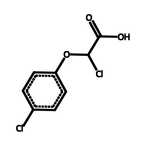 O=C(O)C(Cl)Oc1ccc(Cl)cc1